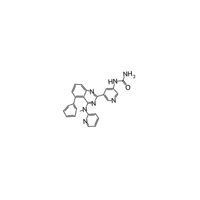 CN(c1ccccn1)c1nc(-c2cncc(NC(N)=O)c2)nc2cccc(-c3ccccc3)c12